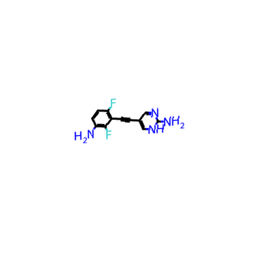 Nc1ccc(F)c(C#CC2=CNC(N)N=C2)c1F